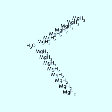 O.[MgH2].[MgH2].[MgH2].[MgH2].[MgH2].[MgH2].[MgH2].[MgH2].[MgH2].[MgH2].[MgH2].[MgH2].[MgH2].[MgH2].[MgH2]